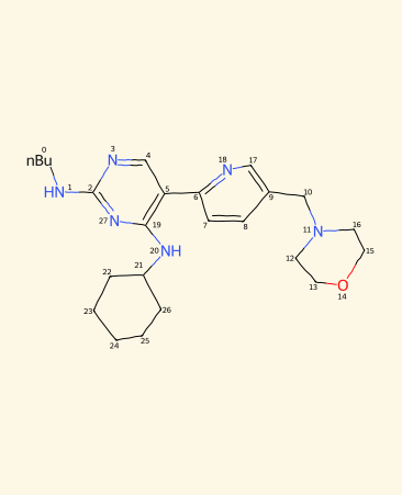 CCCCNc1ncc(-c2ccc(CN3CCOCC3)cn2)c(NC2CCCCC2)n1